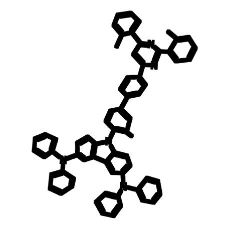 Cc1ccccc1-c1cc(-c2ccc(-c3ccc(-n4c5ccc(N(c6ccccc6)c6ccccc6)cc5c5cc(N(c6ccccc6)c6ccccc6)ccc54)c(C)c3)cc2)nc(-c2ccccc2C)n1